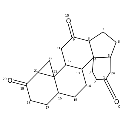 O=C1CCC23C(CCC2C(=O)CC2C3CCC3CCC(=O)C4CC342)C1